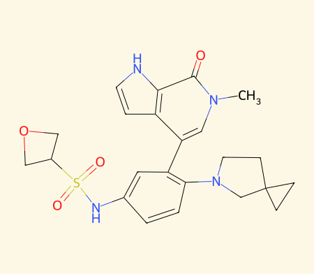 Cn1cc(-c2cc(NS(=O)(=O)C3COC3)ccc2N2CCC3(CC3)C2)c2cc[nH]c2c1=O